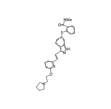 CNC(=O)c1ccccc1Sc1ccc2c(/C=C/c3cccc(OCCN4CCCC4)n3)n[nH]c2c1